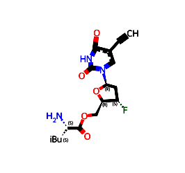 C#Cc1cn([C@H]2C[C@H](F)[C@@H](COC(=O)[C@@H](N)[C@@H](C)CC)O2)c(=O)[nH]c1=O